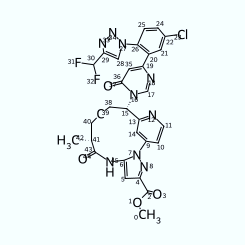 COC(=O)c1cc2n(n1)-c1ccnc(c1)[C@@H](n1cnc(-c3cc(Cl)ccc3-n3cc(C(F)F)nn3)cc1=O)CCC[C@@H](C)C(=O)N2